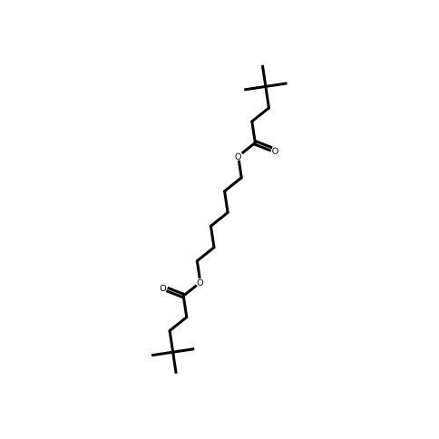 CC(C)(C)CCC(=O)OCCCCCCOC(=O)CCC(C)(C)C